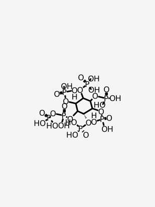 O=P(O)(O)OC1C(OP(=O)(O)O)C(OP(=O)(O)O)[C@H](OP(=O)(O)O)C(OP(=O)(O)OP(=O)(O)O)C1OP(=O)(O)O